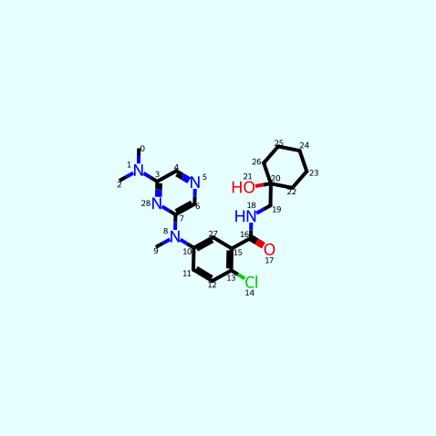 CN(C)c1cncc(N(C)c2ccc(Cl)c(C(=O)NCC3(O)CCCCC3)c2)n1